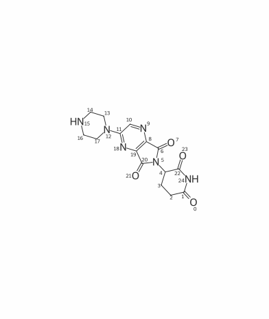 O=C1CCC(N2C(=O)c3ncc(N4CCNCC4)nc3C2=O)C(=O)N1